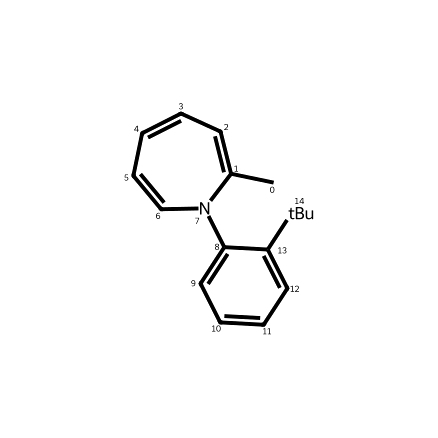 CC1=CC=CC=CN1c1ccccc1C(C)(C)C